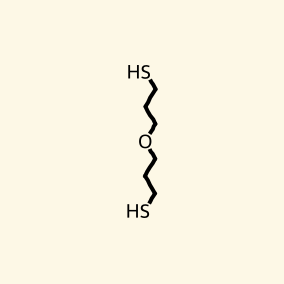 SCCCOCCCS